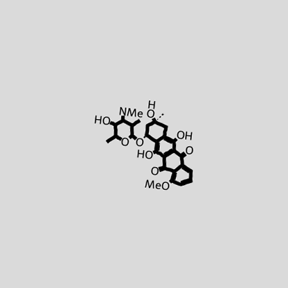 CNC1C(C)C(O[C@@H]2C[C@@](C)(O)Cc3c(O)c4c(c(O)c32)C(=O)c2c(OC)cccc2C4=O)OC(C)C1O